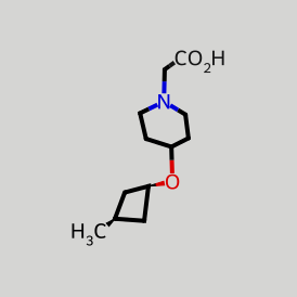 C[C@H]1C[C@@H](OC2CCN(CC(=O)O)CC2)C1